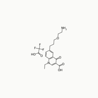 CCn1cc(C(=O)O)c(=O)c2cc(CCCOCCN)ccc21.O=C(O)C(F)(F)F